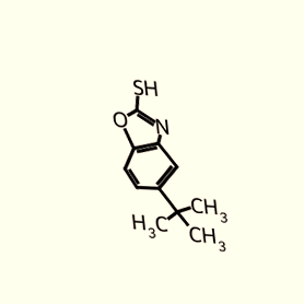 CC(C)(C)c1ccc2oc(S)nc2c1